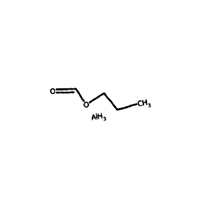 CCCOC=O.[AlH3]